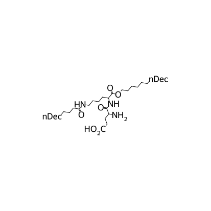 CCCCCCCCCCCCCCCCOC(=O)C(CCCCNC(=O)CCCCCCCCCCCCC)NC(=O)C(N)CCC(=O)O